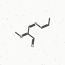 C\C=C/N=C\C(C=O)=N/C